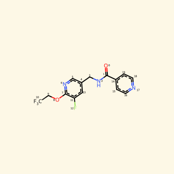 O=C(NCc1cnc(OCC(F)(F)F)c(F)c1)c1ccncc1